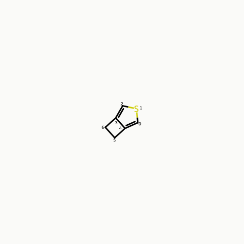 c1scc2c1CC2